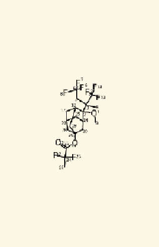 COC1(C(C)(CC(F)(F)F)C(F)(F)F)C2CC3CC1CC(OC(=O)C(C)(F)F)(C3)C2